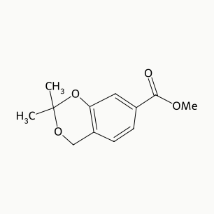 COC(=O)c1ccc2c(c1)OC(C)(C)OC2